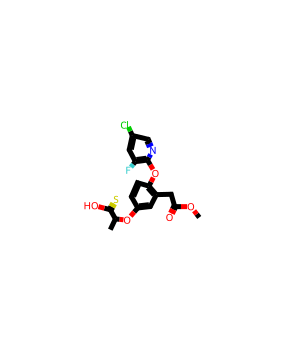 COC(=O)Cc1cc(OC(C)C(O)=S)ccc1Oc1ncc(Cl)cc1F